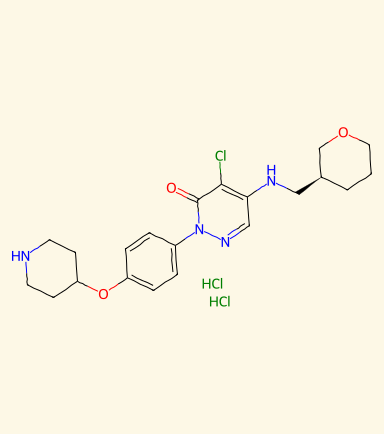 Cl.Cl.O=c1c(Cl)c(NC[C@@H]2CCCOC2)cnn1-c1ccc(OC2CCNCC2)cc1